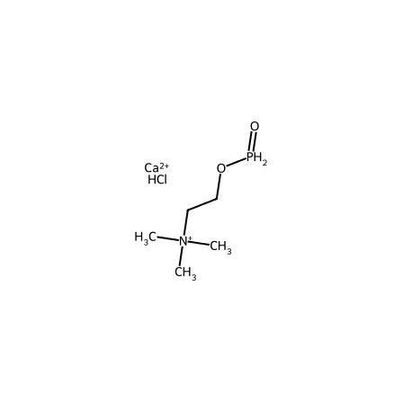 C[N+](C)(C)CCO[PH2]=O.Cl.[Ca+2]